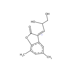 Cc1cc(C)c2c(c1)/C(=C/C(O)CO)C(=O)O2